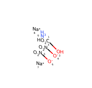 N.O=C(O)O.O=[N+]([O-])[O-].O=[N+]([O-])[O-].[Na+].[Na+]